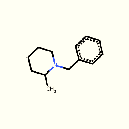 CC1C[CH]CCN1Cc1ccccc1